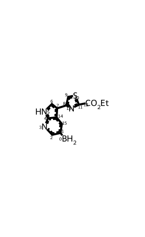 Bc1cnc2[nH]cc(-c3csc(C(=O)OCC)n3)c2c1